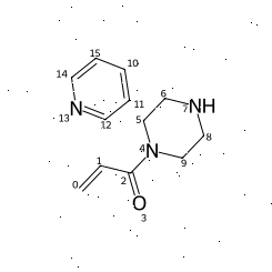 C=CC(=O)N1CCNCC1.c1ccncc1